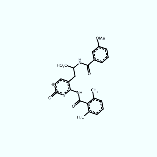 COc1cccc(C(=O)NC(Cc2c[nH]c(=O)nc2NC(=O)c2c(C)cccc2C)C(=O)O)c1